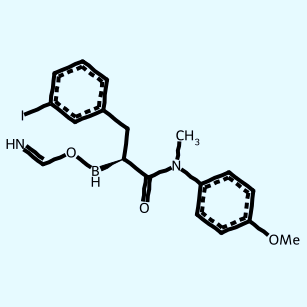 COc1ccc(N(C)C(=O)[C@@H](BOC=N)Cc2cccc(I)c2)cc1